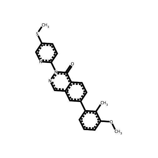 COc1cccc(-c2ccc3c(=O)n(-c4ccc(SC)cn4)ncc3c2)c1C